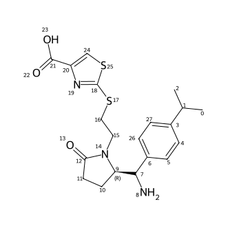 CC(C)c1ccc(C(N)[C@H]2CCC(=O)N2CCSc2nc(C(=O)O)cs2)cc1